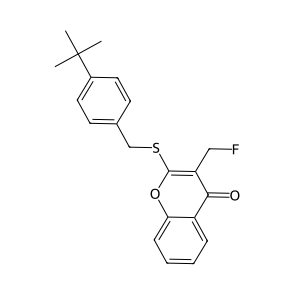 CC(C)(C)c1ccc(CSc2oc3ccccc3c(=O)c2CF)cc1